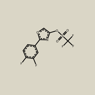 O=S(=O)(Oc1coc(-c2ccc(F)c(F)c2)n1)C(F)(F)F